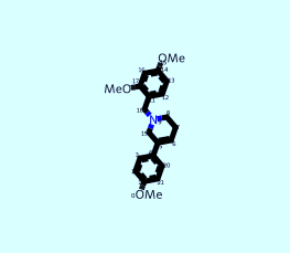 COc1ccc(C2=CCCN(Cc3ccc(OC)cc3OC)C2)cc1